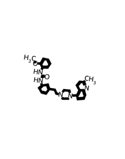 COc1ccccc1NC(=O)Nc1cccc(CCN2CCN(c3cccc4nc(C)ccc34)CC2)c1